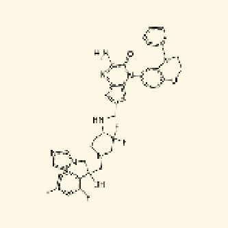 Nc1nc2sc(CNC3CCN(CC(O)(Cn4cncn4)c4ccc(F)cc4F)CC3(F)F)cc2n(-c2ccc3c(c2)N(c2ccccc2)CCO3)c1=O